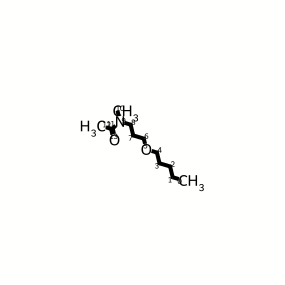 CCCCCOCCCN(C)C(C)=O